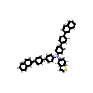 c1ccc2cc(-c3ccc(-c4ccc(N(c5ccc(-c6ccc(-c7ccc8ccccc8c7)cc6)cc5)c5ccc6sccc6c5)cc4)cc3)ccc2c1